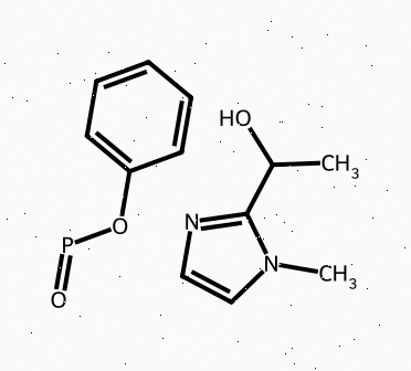 CC(O)c1nccn1C.O=POc1ccccc1